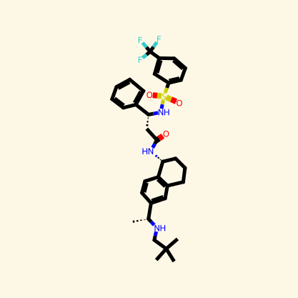 C[C@@H](NCC(C)(C)C)c1ccc2c(c1)CCC[C@H]2NC(=O)C[C@@H](NS(=O)(=O)c1cccc(C(F)(F)F)c1)c1ccccc1